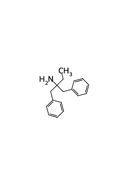 CCC(N)(Cc1ccccc1)Cc1ccccc1